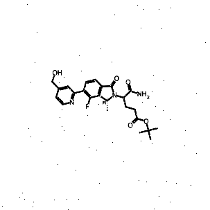 C[C@@H]1c2c(ccc(-c3cc(CO)ccn3)c2F)C(=O)N1C(CCC(=O)OC(C)(C)C)C(N)=O